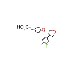 Cc1ccc(C2=C(COc3ccc(CCC(=O)O)cc3)CCOCC2)cc1F